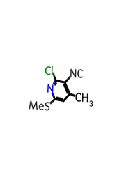 [C-]#[N+]c1c(C)cc(SC)nc1Cl